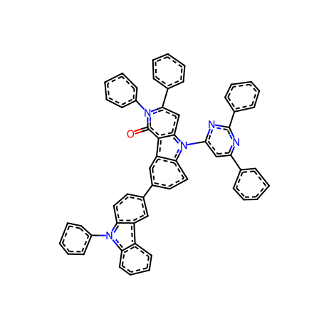 O=c1c2c3cc(-c4ccc5c(c4)c4ccccc4n5-c4ccccc4)ccc3n(-c3cc(-c4ccccc4)nc(-c4ccccc4)n3)c2cc(-c2ccccc2)n1-c1ccccc1